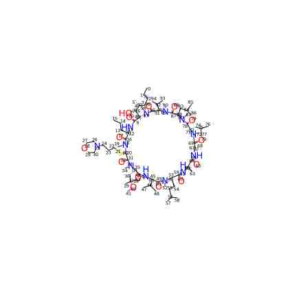 C/C=C/C[C@@H](C)[C@@H](O)[C@H]1C(=O)N[C@H](CCC)C(=O)N(C)[C@H](SCCCN2CCOCC2)C(=O)N(C)[C@@H](CC(C)(C)OC)C(=O)N[C@H](C(C)C)C(=O)N(C)[C@H](CCC(C)C)C(=O)N[C@H](C)C(=O)N[C@@H](C)C(=O)N(C)[C@@H](CC(C)C)C(=O)N(C)[C@H](CC(C)C)C(=O)N(C)[C@H](C(C)C)C(=O)N1C